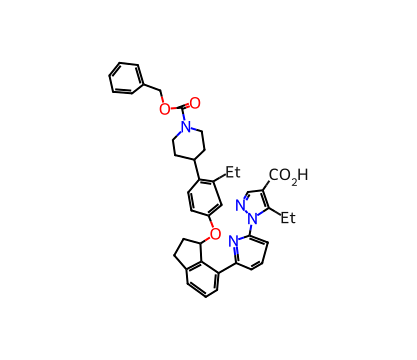 CCc1cc(OC2CCc3cccc(-c4cccc(-n5ncc(C(=O)O)c5CC)n4)c32)ccc1C1CCN(C(=O)OCc2ccccc2)CC1